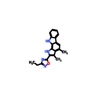 CCc1noc(-c2[nH]c3c(c(C)cc4c5ccccc5[nH]c43)c2C)n1